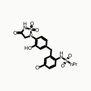 CCCS(=O)(=O)Nc1ccc(Cl)cc1Cc1ccc(N2CC(=O)NS2(=O)=O)c(O)c1